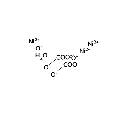 O.O=C([O-])[O-].O=C([O-])[O-].[Ni+2].[Ni+2].[Ni+2].[O-].[O-]